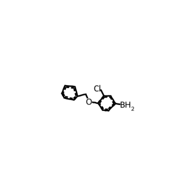 Bc1ccc(OCc2ccccc2)c(Cl)c1